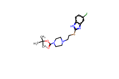 CC(C)(C)OC(=O)N1CCN(CCSc2nc3cc(F)ccc3[nH]2)CC1